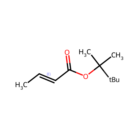 C/C=C/C(=O)OC(C)(C)C(C)(C)C